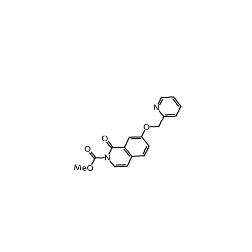 COC(=O)n1ccc2ccc(OCc3ccccn3)cc2c1=O